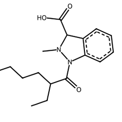 CCCCC(CC)C(=O)N1c2ccccc2C(C(=O)O)N1C